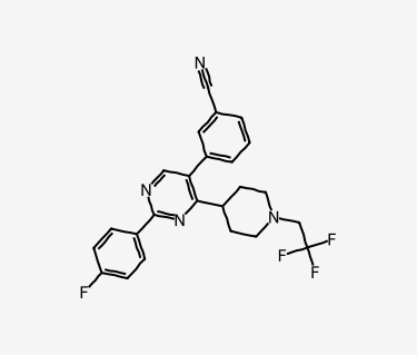 N#Cc1cccc(-c2cnc(-c3ccc(F)cc3)nc2C2CCN(CC(F)(F)F)CC2)c1